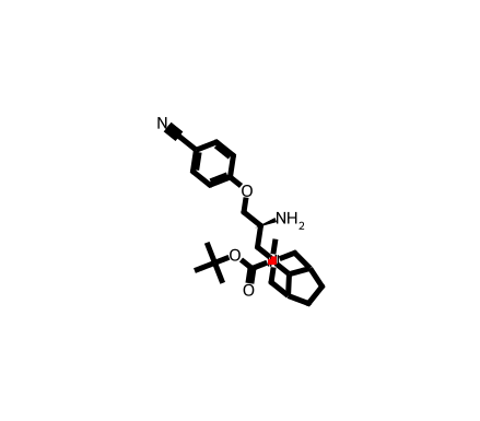 CN(C(=O)OC(C)(C)C)C1C2CCC1CN(C[C@H](N)COc1ccc(C#N)cc1)C2